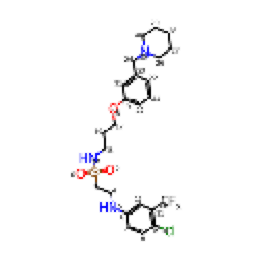 O=S(=O)(CCNc1ccc(Cl)c(C(F)(F)F)c1)NCCCOc1cccc(CN2CCCCC2)c1